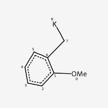 COc1ccccc1[CH2][K]